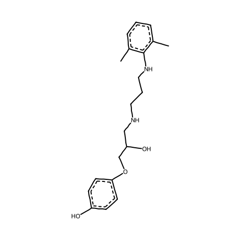 Cc1cccc(C)c1NCCCNCC(O)COc1ccc(O)cc1